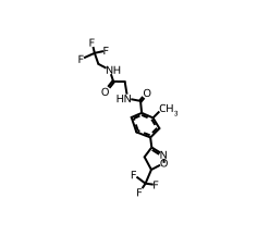 Cc1cc(C2=NOC(C(F)(F)F)C2)ccc1C(=O)NCC(=O)NCC(F)(F)F